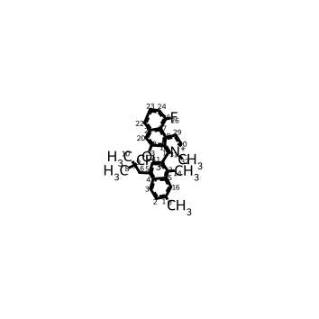 Cc1ccc2c(CC(C)(C)C)c3c(c(C)c2c1)-c1c2c(cc4cccc(F)c4c2cc[n+]1C)O3